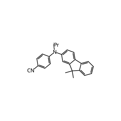 [C-]#[N+]c1ccc(N(c2ccc3c(c2)C(C)(C)c2ccccc2-3)C(C)C)cc1